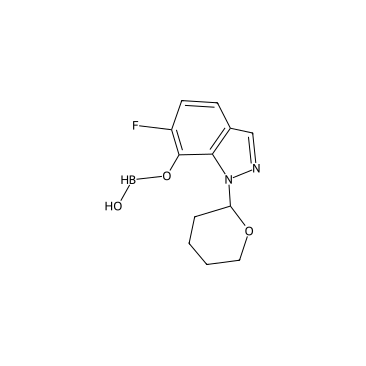 OBOc1c(F)ccc2cnn(C3CCCCO3)c12